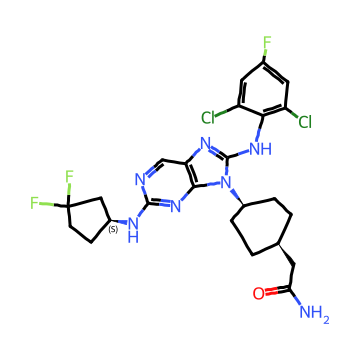 NC(=O)C[C@H]1CC[C@@H](n2c(Nc3c(Cl)cc(F)cc3Cl)nc3cnc(N[C@H]4CCC(F)(F)C4)nc32)CC1